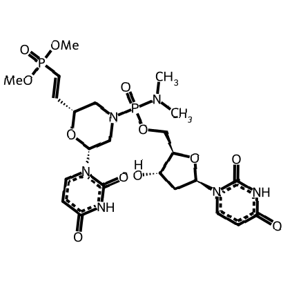 COP(=O)(/C=C/[C@@H]1CN(P(=O)(OC[C@H]2O[C@@H](n3ccc(=O)[nH]c3=O)C[C@@H]2O)N(C)C)C[C@H](n2ccc(=O)[nH]c2=O)O1)OC